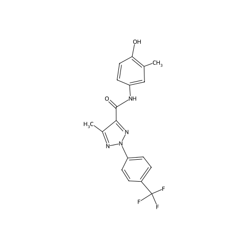 Cc1cc(NC(=O)c2nn(-c3ccc(C(F)(F)F)cc3)nc2C)ccc1O